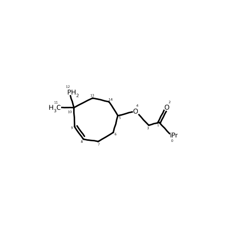 CC(C)C(=O)COC1CC/C=C\C(C)(P)CC1